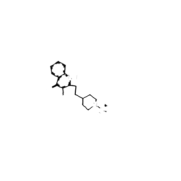 CCS(=O)(=O)N1CCC(CCc2[nH]c3ccccc3c(=O)c2C)CC1